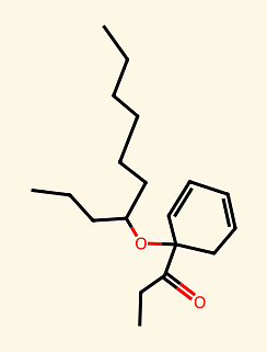 CCCCCCC(CCC)OC1(C(=O)CC)C=CC=CC1